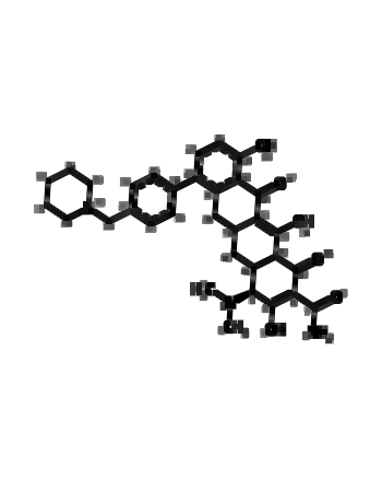 CN(C)[C@@H]1C(O)=C(C(N)=O)C(=O)C2C(O)=C3C(=O)c4c(O)ccc(-c5ccc(CN6CCCCC6)cc5)c4CC3CC21